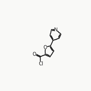 O=C(Cl)c1ccc(-c2ccncc2)o1